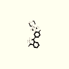 Cc1ccc(-c2nnc(C)c3ccccc23)cc1S(=O)(=O)N1CCOCC1